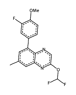 COc1ccc(-c2cc(C)cc3nc(OC(F)F)cnc23)cc1F